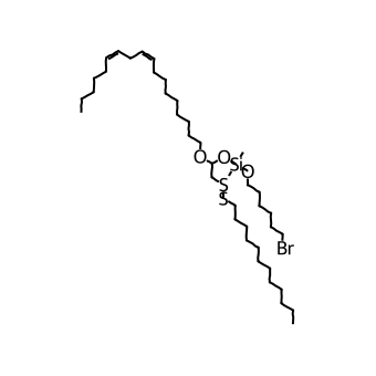 CCCCC/C=C\C/C=C\CCCCCCCCOC(CSSCCCCCCCCCCCC)O[Si](C)(C)OCCCCCCBr